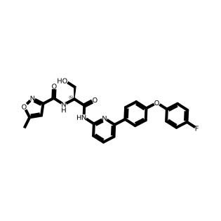 Cc1cc(C(=O)N[C@@H](CO)C(=O)Nc2cccc(-c3ccc(Oc4ccc(F)cc4)cc3)n2)no1